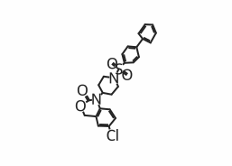 O=C1OCc2cc(Cl)ccc2N1C1CCN(S(=O)(=O)c2ccc(-c3ccccc3)cc2)CC1